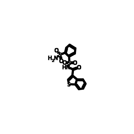 NS(=O)(=O)c1ccccc1S(=O)(=O)NC(=O)c1csc2ccccc12